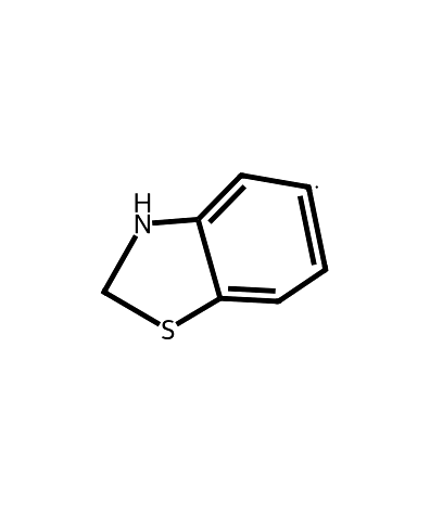 [c]1ccc2c(c1)NCS2